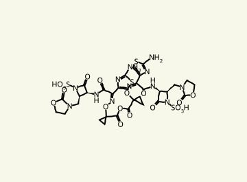 Nc1nc(/C(=N/OC2(C(=O)OC(=O)C3(O/N=C(\C(=O)N[C@@H]4C(=O)N(S(=O)(=O)O)[C@@H]4CN4CCOC4=O)c4csc(N)n4)CC3)CC2)C(=O)N[C@@H]2C(=O)N(S(=O)(=O)O)[C@@H]2CN2CCOC2=O)cs1